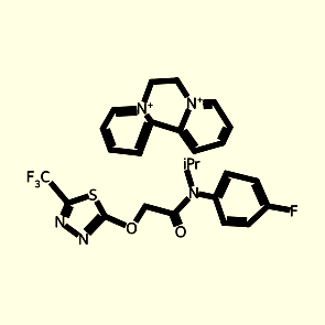 CC(C)N(C(=O)COc1nnc(C(F)(F)F)s1)c1ccc(F)cc1.c1cc[n+]2c(c1)-c1cccc[n+]1CC2